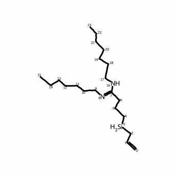 C=CC[SiH2]CCCC(=NCCCCCCC)NCCCCCCC